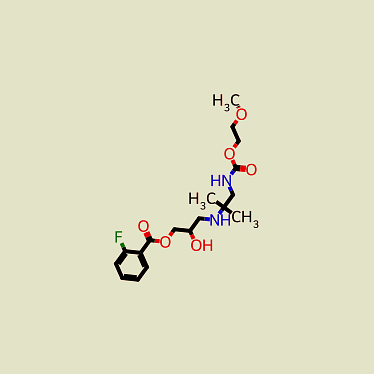 COCCOC(=O)NCC(C)(C)NCC(O)COC(=O)c1ccccc1F